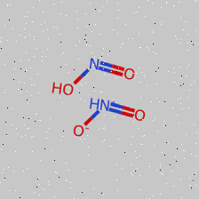 O=NO.O=[NH+][O-]